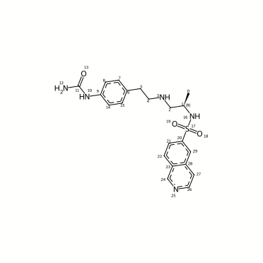 C[C@H](CNCCc1ccc(NC(N)=O)cc1)NS(=O)(=O)c1ccc2cnccc2c1